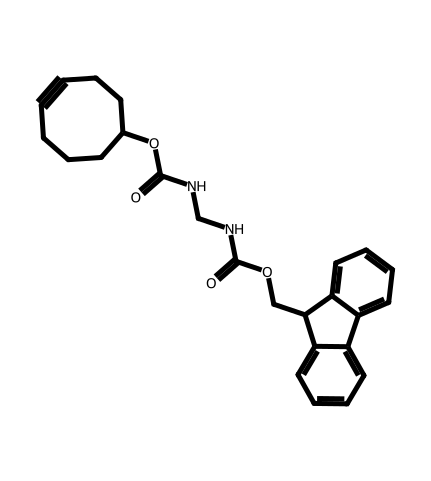 O=C(NCNC(=O)OC1CCC#CCCC1)OCC1c2ccccc2-c2ccccc21